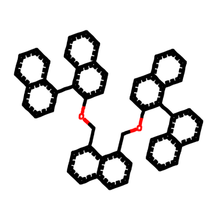 c1ccc2c(-c3c(OCc4cccc5cccc(COc6ccc7ccccc7c6-c6cccc7ccccc67)c45)ccc4ccccc34)cccc2c1